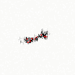 COC[C@H]1CC(c2ncc(-c3ccc4c(c3)COc3cc5c(ccc6nc(C7CC[C@H](C)N7C(=O)[C@H](C(C)C)N(C)C(=O)O)[nH]c65)cc3-4)[nH]2)N(C(=O)C(NC(=O)OC)C2CCOCC2)C1